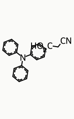 N#CCC(=O)O.c1ccc(N(c2ccccc2)c2ccccc2)cc1